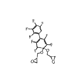 FC1=C(F)C(OCC2CO2)(OCC2CO2)C(F)C(F)=C1c1cc(F)c(F)c(F)c1F